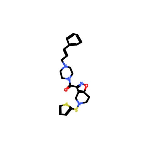 O=C(c1noc2c1CN(Sc1cccs1)CC2)N1CCN(CC=Cc2ccccc2)CC1